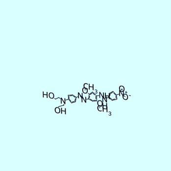 COc1cc(NNc2ccc([N+](=O)[O-])cc2)c(OC)cc1/N=N/c1ccc(N(CCO)CCO)cc1